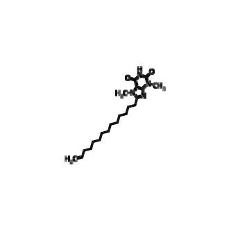 C=CCCCCCCCCCCCCc1nc2c(c(=O)[nH]c(=O)n2C)n1C